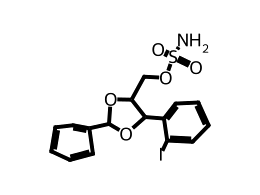 NS(=O)(=O)OCC1OC(c2ccccc2)OC1c1ccccc1I